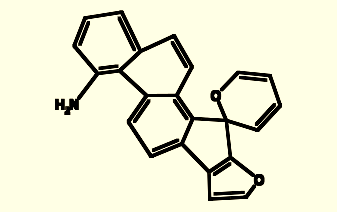 Nc1cccc2ccc3c4c(ccc3c12)-c1ccoc1C41C=CC=CO1